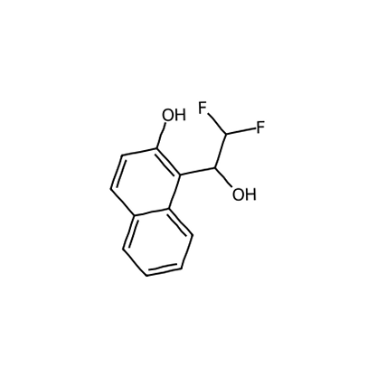 Oc1ccc2ccccc2c1C(O)C(F)F